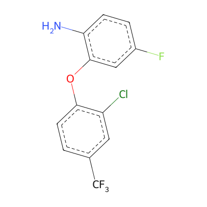 Nc1ccc(F)cc1Oc1ccc(C(F)(F)F)cc1Cl